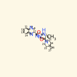 C[C@@H](Nc1nnc(-c2cnc3ccccc3n2)o1)C(=O)N1CCC2(CC1)CC2